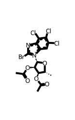 CC(=O)O[C@@H]1[C@H](OC(C)=O)[C@@H](C)O[C@H]1n1c(Br)nc2c(Cl)c(Cl)c(Cl)cc21